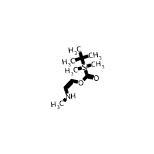 CN/C=C\OC(=O)[Si](C)(C)C(C)(C)C